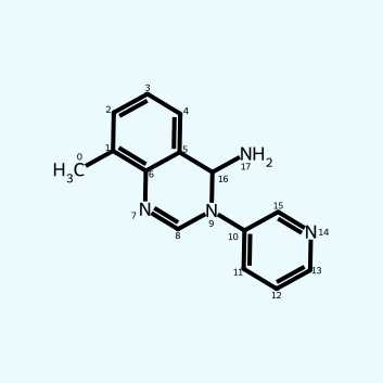 Cc1cccc2c1N=CN(c1cccnc1)C2N